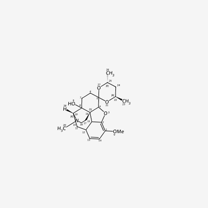 COC1=C2OC3C4(CCC5(O)[C@H]6CC(C=C1)C2[C@@]35CCN6C)O[C@H](C)C[C@@H](C)O4